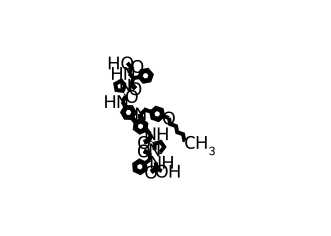 CCCCCCOc1ccc(Cn2c3cc(NC(=O)[C@@H]4CCCN4C(=O)C(NC(=O)O)c4ccccc4)ccc3c3ccc(NC(=O)[C@@H]4CCCN4C(=O)C(NC(=O)O)c4ccccc4)cc32)cc1